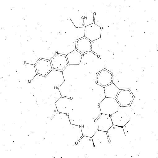 CC[C@@]1(O)C(=O)OCc2c1cc1n(c2=O)Cc2c-1nc1cc(F)c(Cl)cc1c2CNC(=O)C[C@@H](C)OCNC(=O)[C@H](C)NC(=O)[C@H](C(C)C)N(C)C(=O)OC1c2ccccc2-c2ccccc21